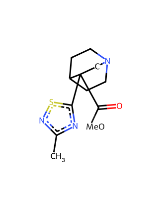 COC(=O)C1(c2nc(C)ns2)CN2CCC1CC2